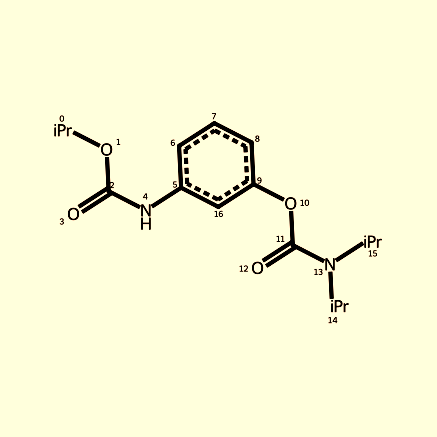 CC(C)OC(=O)Nc1cccc(OC(=O)N(C(C)C)C(C)C)c1